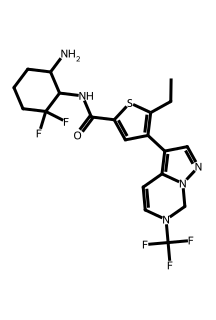 CCc1sc(C(=O)NC2C(N)CCCC2(F)F)cc1-c1cnn2c1C=CN(C(F)(F)F)C2